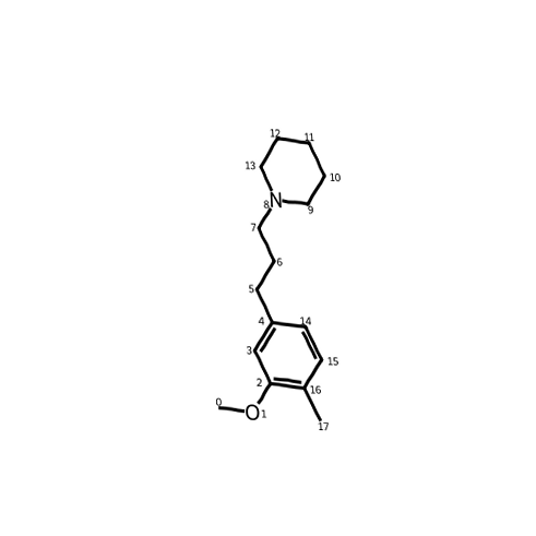 COc1cc(CCCN2CCCCC2)ccc1C